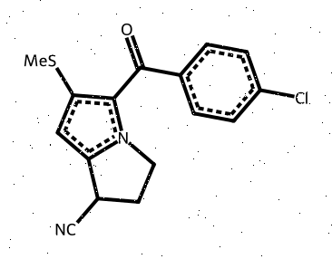 CSc1cc2n(c1C(=O)c1ccc(Cl)cc1)CCC2C#N